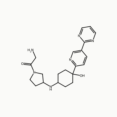 NCC(=O)N1CCC(NC2CCC(O)(c3ccc(-c4ncccn4)cn3)CC2)C1